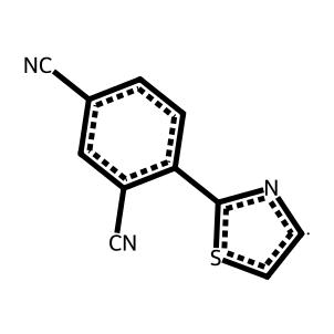 N#Cc1ccc(-c2n[c]cs2)c(C#N)c1